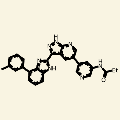 CCC(=O)Nc1cncc(-c2cnc3[nH]nc(-c4nc5c(-c6cccc(C)c6)cccc5[nH]4)c3c2)c1